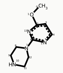 COc1ccnc(N2CCNCC2)n1